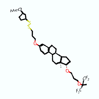 COC1CCC(SSCCCOc2ccc3c(c2)CCC2C3CC[C@@]3(C)C2CC[C@@H]3OCCCOC(C)(C(F)(F)F)C(F)(F)F)C1